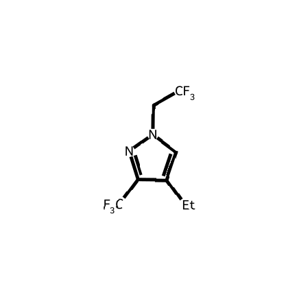 CCc1cn(CC(F)(F)F)nc1C(F)(F)F